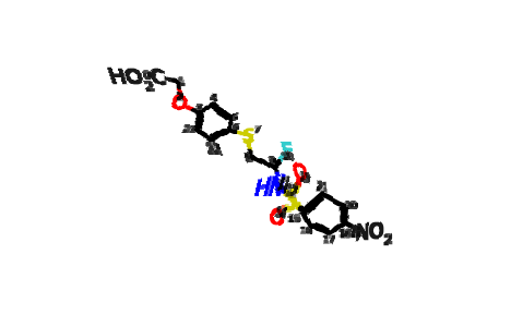 O=C(O)COc1ccc(SCC(F)NS(=O)(=O)c2ccc([N+](=O)[O-])cc2)cc1